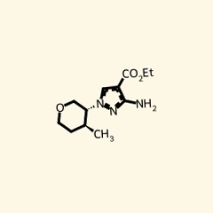 CCOC(=O)c1cn([C@H]2COCC[C@@H]2C)nc1N